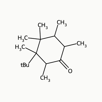 CC1C(=O)C(C)C(C)(C(C)(C)C)C(C)(C)C1C